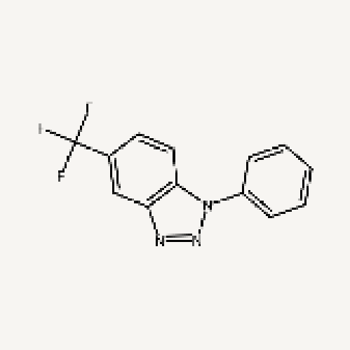 FC(F)(F)c1ccc2c(c1)nnn2-c1ccccc1